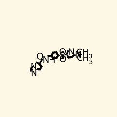 CN(C)c1ccc(S(=O)(=O)c2ccc(CNC(=O)c3ccc4nccn4c3)cc2)cn1